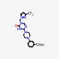 COc1cccc(N2CCN(C3N=CN(Cn4ccc(C(F)(F)F)n4)C(=O)N3)CC2)c1